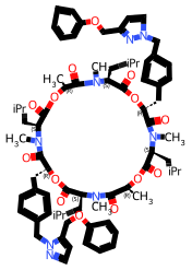 CC(C)C[C@H]1C(=O)O[C@H](Cc2ccc(Cn3nccc3COc3ccccc3)cc2)C(=O)N(C)[C@@H](CC(C)C)C(=O)O[C@H](C)C(=O)N(C)[C@@H](CC(C)C)C(=O)O[C@H](Cc2ccc(Cn3ccc(COc4ccccc4)n3)cc2)C(=O)N(C)[C@@H](CC(C)C)C(=O)O[C@H](C)C(=O)N1C